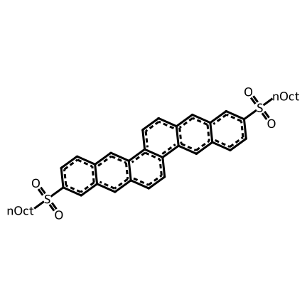 CCCCCCCCS(=O)(=O)c1ccc2cc3c(ccc4c5cc6ccc(S(=O)(=O)CCCCCCCC)cc6cc5ccc34)cc2c1